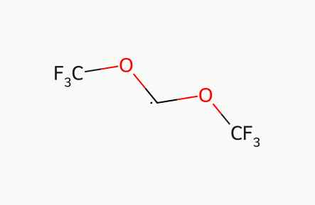 FC(F)(F)O[CH]OC(F)(F)F